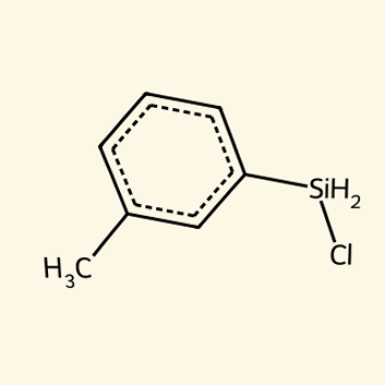 Cc1cccc([SiH2]Cl)c1